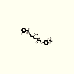 O=C(COc1ccc2c(c1)OC(F)(F)O2)NC[C@@H](O)CCNC(=O)c1cccc(F)c1